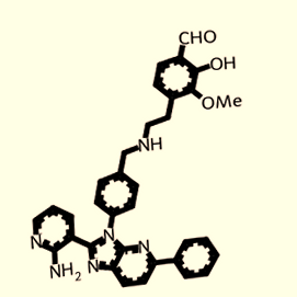 COc1c(CCNCc2ccc(-n3c(-c4cccnc4N)nc4ccc(-c5ccccc5)nc43)cc2)ccc(C=O)c1O